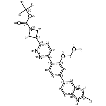 COCOc1cc(-c2ccc3nc(C)cn3c2)ccc1-c1ccc(C2CN(C(=O)OC(C)(C)C)C2)nn1